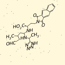 CC(CC=O)CC(NC(C)c1nnn[nH]1)N[C@H](CCN1C(=O)c2cc3ccccc3cc2C1=O)C(=O)O